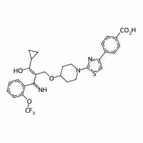 N=C(/C(COC1CCN(c2nc(-c3ccc(C(=O)O)cc3)cs2)CC1)=C(\O)C1CC1)c1ccccc1OC(F)(F)F